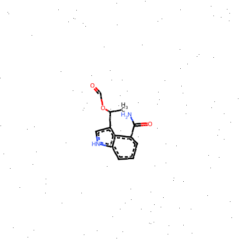 CC(OC=O)c1c[nH]c2cccc(C(N)=O)c12